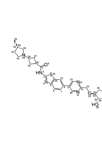 O=C(Nc1nc2ccc(-c3cnc(CO[C@H]4CCC[C@@H]4O)nc3)cc2s1)C1CC(N2CC[C@@H](F)C2)C1